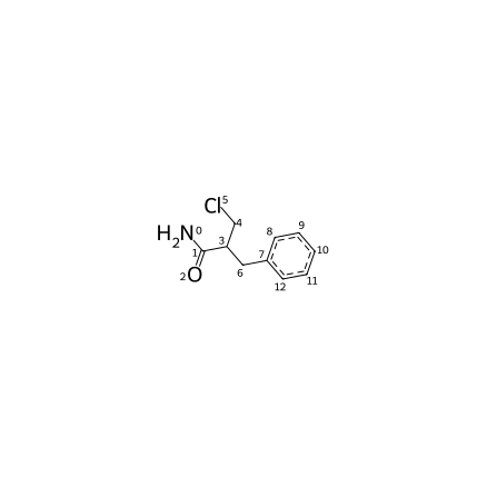 NC(=O)C(CCl)Cc1ccccc1